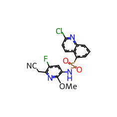 COc1nc(CC#N)c(F)cc1NS(=O)(=O)c1cccc2nc(Cl)ccc12